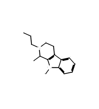 CCCN1CCc2c(n(C)c3ccccc23)C1C